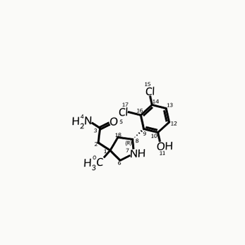 CC1(CC(N)=O)CN[C@@H](c2c(O)ccc(Cl)c2Cl)C1